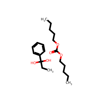 CCC(O)(O)c1ccccc1.CCCCCOC(=O)OCCCCC